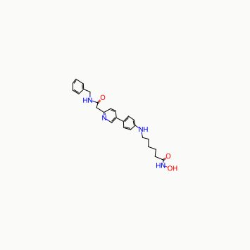 O=C(CCCCCNc1ccc(-c2ccc(CC(=O)NCc3ccccc3)nc2)cc1)NO